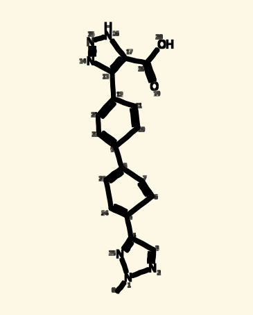 Cn1ncc(-c2ccc(-c3ccc(-c4nn[nH]c4C(=O)O)cc3)cc2)n1